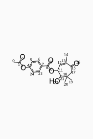 CC(=O)Oc1ccc(C(=O)OC2C=C(C)C(=O)CC(C)(C)C2O)cc1